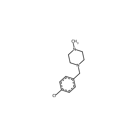 CN1CCN(Cc2ccc(Cl)cc2)CC1